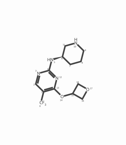 FC(F)(F)c1cnc(N[C@@H]2CCCNC2)nc1OC1COC1